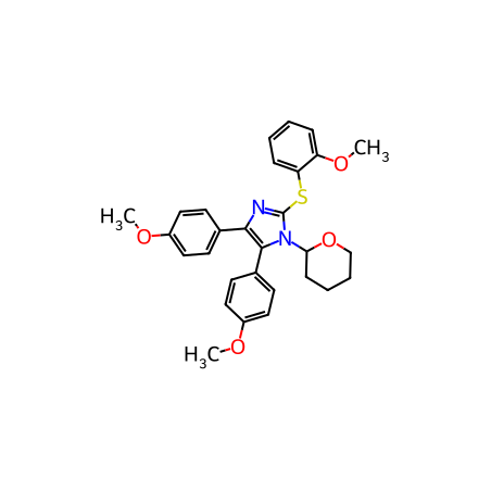 COc1ccc(-c2nc(Sc3ccccc3OC)n(C3CCCCO3)c2-c2ccc(OC)cc2)cc1